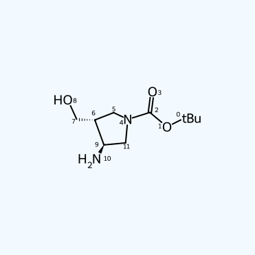 CC(C)(C)OC(=O)N1C[C@@H](CO)[C@H](N)C1